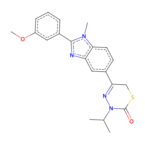 COc1cccc(-c2nc3cc(C4=NN(C(C)C)C(=O)SC4)ccc3n2C)c1